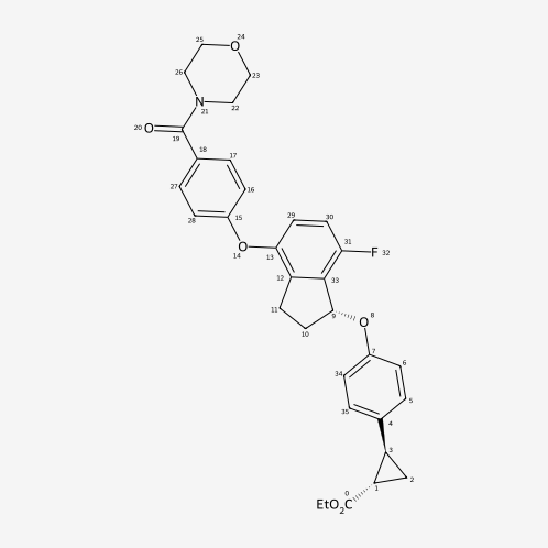 CCOC(=O)[C@H]1C[C@@H]1c1ccc(O[C@@H]2CCc3c(Oc4ccc(C(=O)N5CCOCC5)cc4)ccc(F)c32)cc1